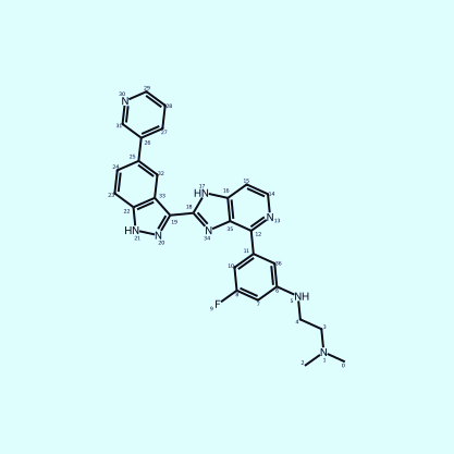 CN(C)CCNc1cc(F)cc(-c2nccc3[nH]c(-c4n[nH]c5ccc(-c6cccnc6)cc45)nc23)c1